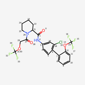 O=C(Nc1ccc(-c2ccccc2OC(F)(F)F)c(Cl)c1)C1CCCCN1C(=O)COC(F)(F)F